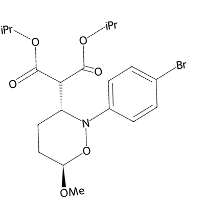 CO[C@H]1CC[C@H](C(C(=O)OC(C)C)C(=O)OC(C)C)N(c2ccc(Br)cc2)O1